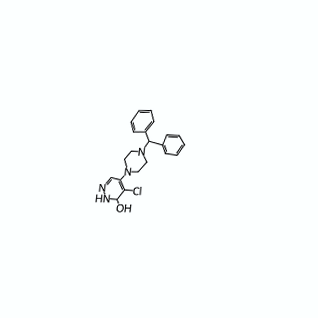 OC1NN=CC(N2CCN(C(c3ccccc3)c3ccccc3)CC2)=C1Cl